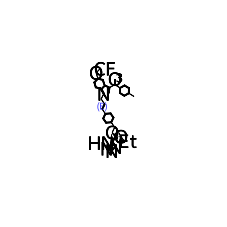 CCO[C@@H](OCc1ccc(/C=C/Cn2cc(C(=O)c3ccc(C)cc3)c3cc(OC(F)(F)F)ccc32)cc1)c1nnn[nH]1